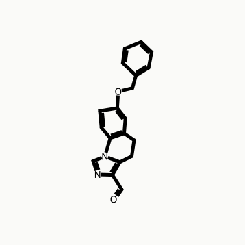 O=Cc1ncn2c1CCc1cc(OCc3ccccc3)ccc1-2